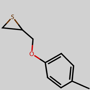 Cc1ccc(OCC2CS2)cc1